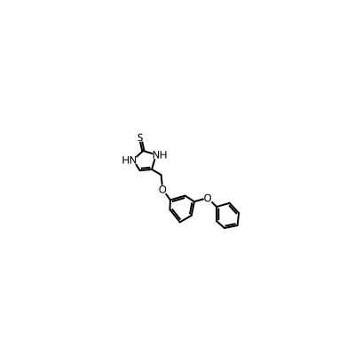 S=c1[nH]cc(COc2cccc(Oc3ccccc3)c2)[nH]1